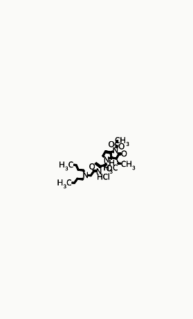 CCCCN(CCCC)Cc1nc(C(=O)N2CC=C3[C@@H]2[C@H](C(C)C)C(=O)N3S(C)(=O)=O)co1.Cl